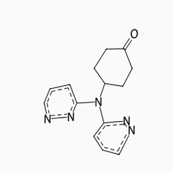 O=C1CCC(N(c2cccnn2)c2cccnn2)CC1